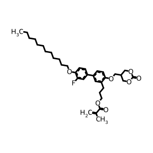 C=C(C)C(=O)OCCCc1cc(-c2ccc(OCCCCCCCCCCCC)c(F)c2)ccc1OCC1COC(=O)OC1